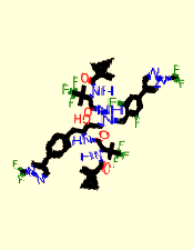 CC1(C(=O)NC(C(=O)NC(Cc2ccc(-c3cnn(C(F)F)c3)cc2)C(O)CN(Cc2c(F)cc(-c3cnn(C(F)F)c3)cc2F)NC(=O)C(NC(=O)C2(C)CC2)C(C)(C)C(F)(F)F)C(C)(C)C(F)(F)F)CC1